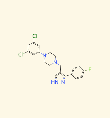 Fc1ccc(-c2n[nH]cc2CN2CCN(c3cc(Cl)cc(Cl)c3)CC2)cc1